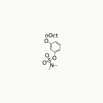 CCCCCCCCOc1cccc(OS(=O)(=O)N(C)C)c1